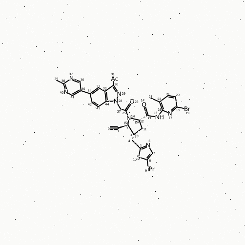 C#C[C@@H]1[C@@H](Cc2ncc(C(C)C)s2)C[C@@H](C(=O)Nc2nc(Br)ccc2C)N1C(=O)Cn1nc(C(C)=O)c2cc(-c3cnc(C)nc3)ccc21